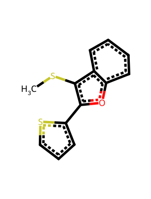 CSc1c(-c2cccs2)oc2ccccc12